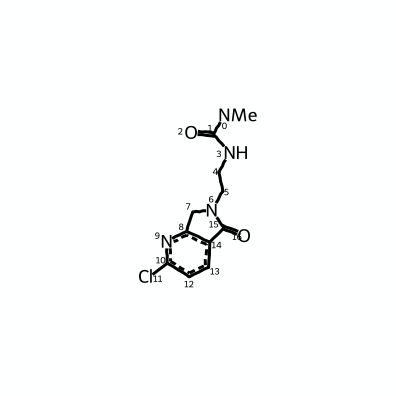 CNC(=O)NCCN1Cc2nc(Cl)ccc2C1=O